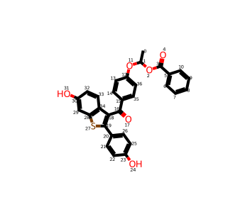 CC(OC(=O)c1ccccc1)Oc1ccc(C(=O)c2c(-c3ccc(O)cc3)sc3cc(O)ccc23)cc1